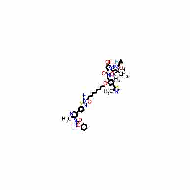 Cc1ncc(-c2ccc3nc(NC(=O)CCCCCCCCOc4cc(-c5scnc5C)ccc4CNC(=O)[C@@H]4C[C@@H](O)CN4C(=O)[C@@H](NC(=O)C4(F)CC4)C(C)(C)C)sc3c2)cc1NC(=O)OC1CCCCC1